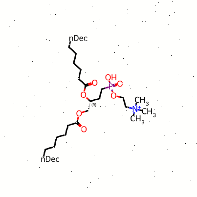 CCCCCCCCCCCCCCCC(=O)OC[C@@H](CCP(=O)(O)OCC[N+](C)(C)C)OC(=O)CCCCCCCCCCCCCCC